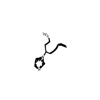 C=CCC(CCO)n1ccnc1